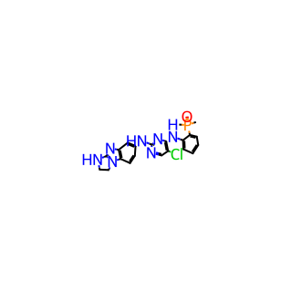 CP(C)(=O)c1ccccc1Nc1nc(Nc2ccc3c(c2)nc2n3CCN2)ncc1Cl